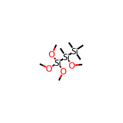 CO[Si](OC)(OC)[Si](C)(OC)[Si](C)(C)C